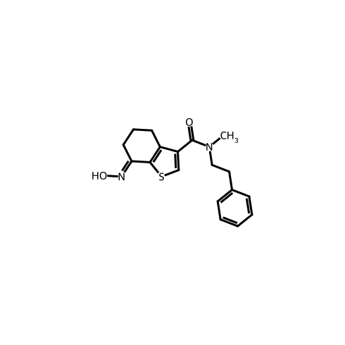 CN(CCc1ccccc1)C(=O)c1csc2c1CCCC2=NO